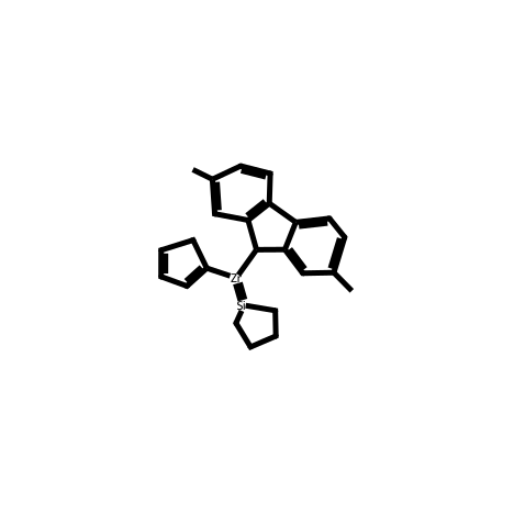 Cc1ccc2c(c1)[CH]([Zr]([C]1=CC=CC1)=[Si]1CCCC1)c1cc(C)ccc1-2